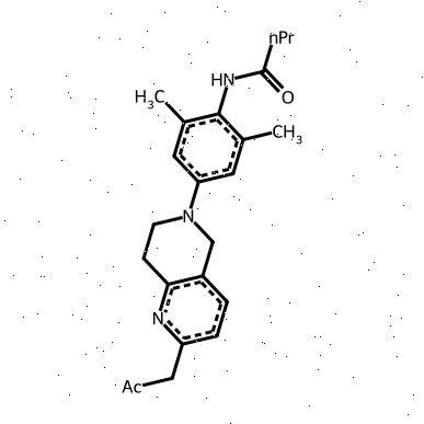 CCCC(=O)Nc1c(C)cc(N2CCc3nc(CC(C)=O)ccc3C2)cc1C